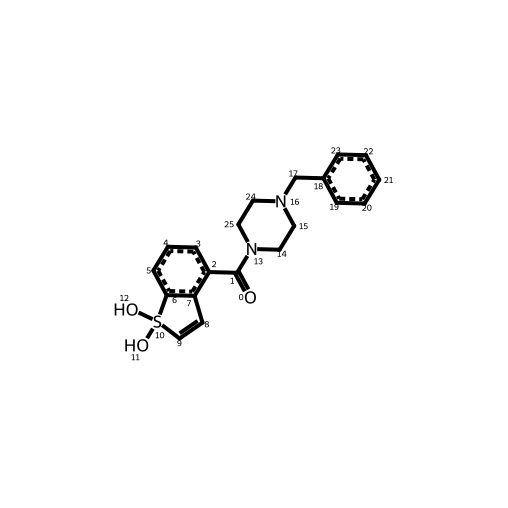 O=C(c1cccc2c1C=CS2(O)O)N1CCN(Cc2ccccc2)CC1